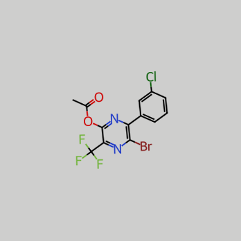 CC(=O)Oc1nc(-c2cccc(Cl)c2)c(Br)nc1C(F)(F)F